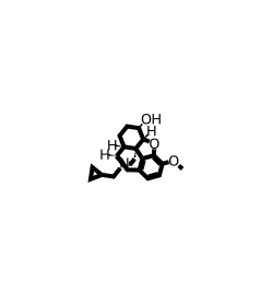 COc1ccc2c3c1O[C@@H]1[C@@H](O)CC[C@@H]4[C@H](C2)N(CC2CC2)CC[C@]341